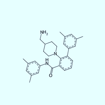 Cc1cc(C)cc(NC(=O)c2cccc(-c3cc(C)cc(C)c3)c2N2CCC(CN)CC2)c1